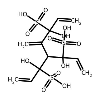 C=CC(O)([C](C(=C)C(O)(C=C)S(=O)(=O)O)C(O)(C=C)S(=O)(=O)O)S(=O)(=O)O